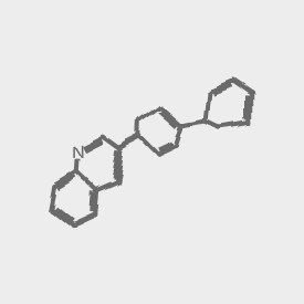 C1=CCC(C2=CCC(c3cnc4ccccc4c3)C=C2)C=C1